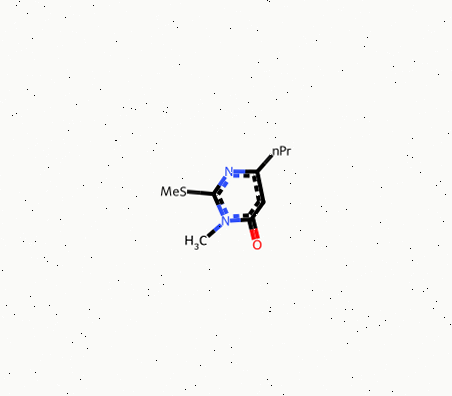 CCCc1cc(=O)n(C)c(SC)n1